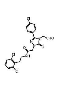 O=CCn1c(-c2ccc(Cl)cc2)nn(CC(=O)NCCc2c(Cl)cccc2Cl)c1=O